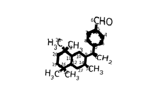 C=C(c1ccc(C=O)cc1)C1CC2C(CC1C)C(C)(C)CCC2(C)C